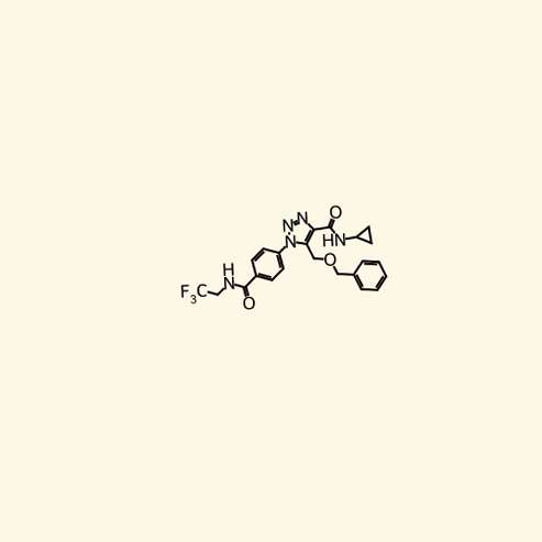 O=C(NCC(F)(F)F)c1ccc(-n2nnc(C(=O)NC3CC3)c2COCc2ccccc2)cc1